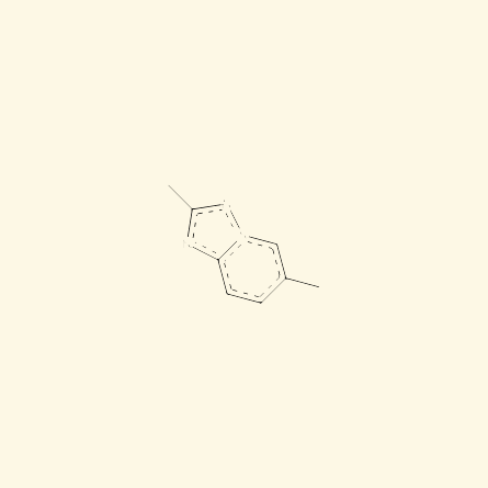 Cc1ccc2nc(C)nn2c1